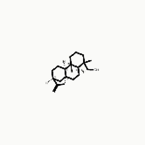 C=C1C[C@@]23CC[C@@H]4C(C)(CO)CCC[C@@]4(C)[C@@H]2CC[C@H]1C3